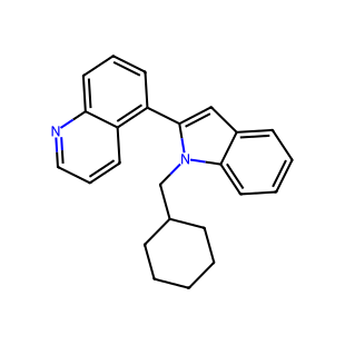 c1ccc2c(c1)cc(-c1cccc3ncccc13)n2CC1CCCCC1